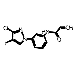 C=CC(=O)Nc1cccc(-n2cc(I)c(Cl)n2)c1